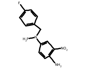 Nc1ccc(N(P)Cc2ccc(F)cc2)cc1[N+](=O)[O-]